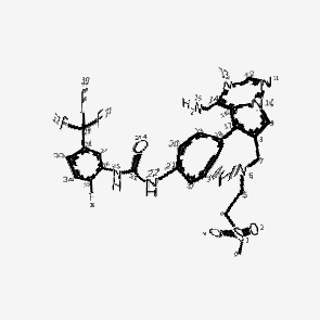 CS(=O)(=O)CCNCc1cn2ncnc(N)c2c1-c1ccc(NC(=O)Nc2cc(C(F)(F)F)ccc2F)cc1